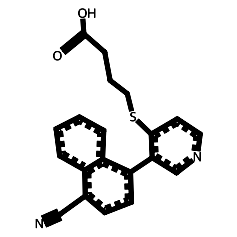 N#Cc1ccc(-c2cnccc2SCCCC(=O)O)c2ccccc12